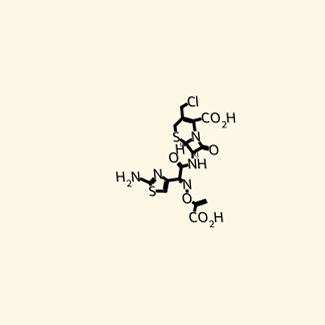 C=C(ON=C(C(=O)N[C@@H]1C(=O)N2C(C(=O)O)=C(CCl)CS[C@@H]12)c1csc(N)n1)C(=O)O